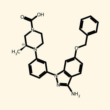 C[C@H]1CN(C(=O)O)CCN1c1cccc(-n2nc(N)c3ccc(OCc4ccccc4)cc32)c1